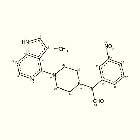 Cc1c[nH]c2ncnc(N3CCN(C(C=O)c4cccc([N+](=O)[O-])c4)CC3)c12